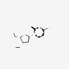 NC[C@H]1[C@@H](O)[C@H](n2ccc(N)nc2=O)O[C@@H]1CO